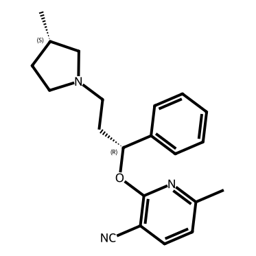 Cc1ccc(C#N)c(O[C@H](CCN2CC[C@H](C)C2)c2ccccc2)n1